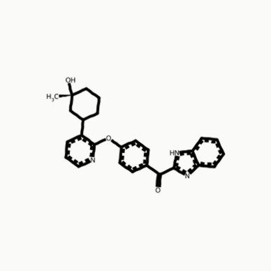 C[C@@]1(O)CCCC(c2cccnc2Oc2ccc(C(=O)c3nc4ccccc4[nH]3)cc2)C1